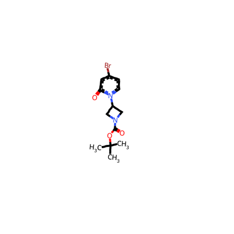 CC(C)(C)OC(=O)N1CC(n2ccc(Br)cc2=O)C1